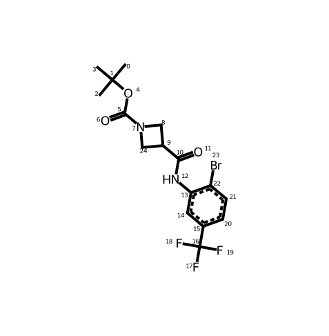 CC(C)(C)OC(=O)N1CC(C(=O)Nc2cc(C(F)(F)F)ccc2Br)C1